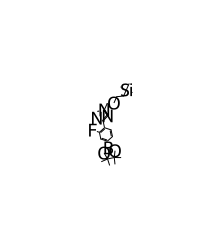 CC1(C)OB(c2ccc(-c3ncn(COCC[Si](C)(C)C)n3)c(F)c2)OC1(C)C